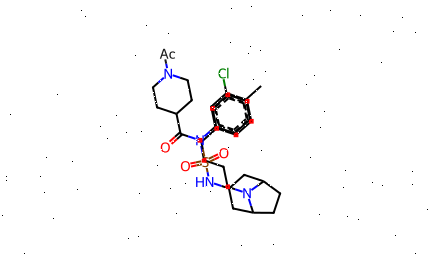 CC(=O)N1CCC(C(=O)N(CCCN2C3CCC2CC(NS(=O)(=O)Cc2ccccc2)C3)c2ccc(C)c(Cl)c2)CC1